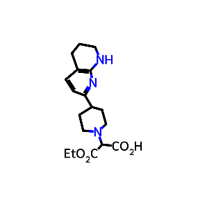 CCOC(=O)C(C(=O)O)N1CCC(c2ccc3c(n2)NCCC3)CC1